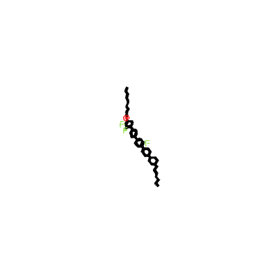 CCCCCCCCCOc1ccc(-c2ccc(-c3ccc(C4CCC(C5CCC(CCCCCCC)CC5)CC4)c(F)c3)cc2)c(F)c1F